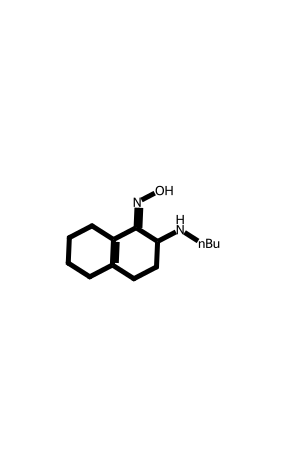 CCCCNC1CCC2=C(CCCC2)C1=NO